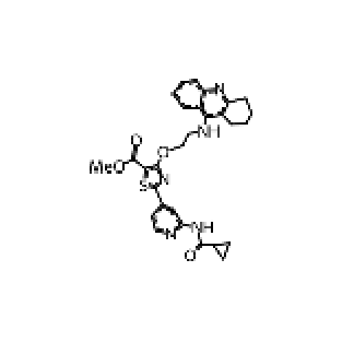 COC(=O)c1sc(-c2ccnc(NC(=O)C3CC3)c2)nc1OCCNc1c2c(nc3ccccc13)CCCC2